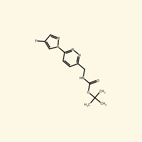 CC(C)(C)OC(=O)NCc1ccc(-n2cc(F)cn2)nn1